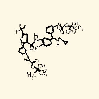 CC(C)(C)OC(=O)NCc1cccc(-n2nc(C(F)(F)F)cc2C(=O)Nc2cc(C(NCC3CC3)c3cccc(NC(=O)OC(C)(C)C)c3)ccc2F)c1